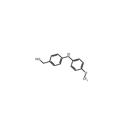 OCc1ccc(Nc2ccc(OC(F)(F)F)cc2)cc1